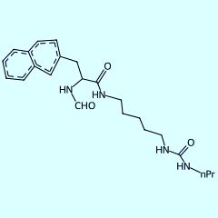 CCCNC(=O)NCCCCCNC(=O)C(Cc1ccc2ccccc2c1)NC=O